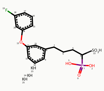 O=P(O)(O)C(CCCc1cccc(Oc2cccc(F)c2)c1)S(=O)(=O)O.[KH].[KH].[KH]